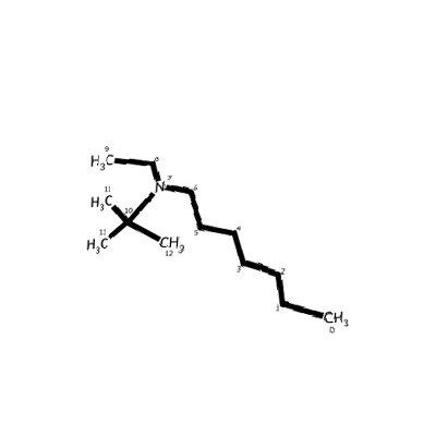 CCCCCCCN(CC)C(C)(C)C